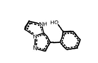 Oc1ccccc1-c1cnn2cc[nH]c12